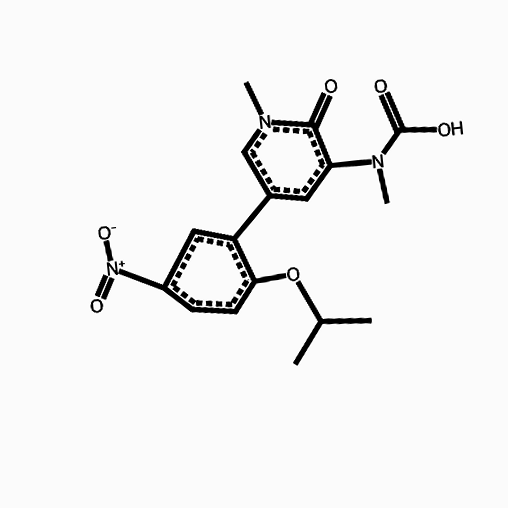 CC(C)Oc1ccc([N+](=O)[O-])cc1-c1cc(N(C)C(=O)O)c(=O)n(C)c1